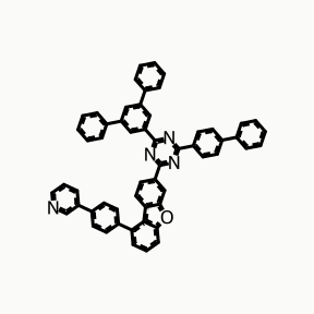 c1ccc(-c2ccc(-c3nc(-c4cc(-c5ccccc5)cc(-c5ccccc5)c4)nc(-c4ccc5c(c4)oc4cccc(-c6ccc(-c7cccnc7)cc6)c45)n3)cc2)cc1